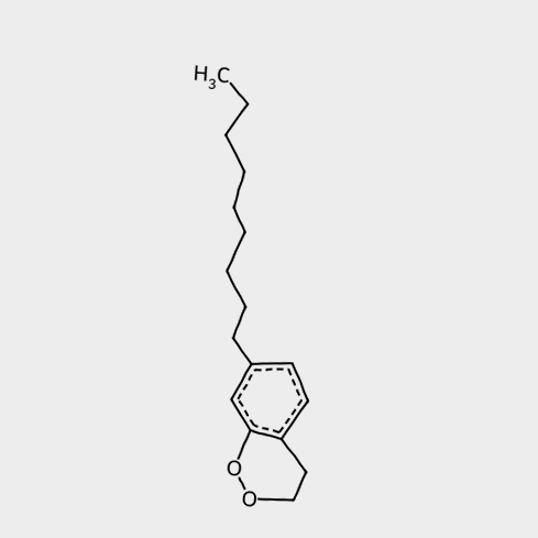 CCCCCCCCCc1ccc2c(c1)OOCC2